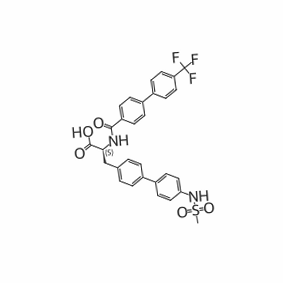 CS(=O)(=O)Nc1ccc(-c2ccc(C[C@H](NC(=O)c3ccc(-c4ccc(C(F)(F)F)cc4)cc3)C(=O)O)cc2)cc1